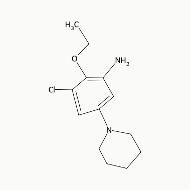 CCOc1c(N)cc(N2CCCCC2)cc1Cl